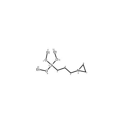 CCO[Si](CCCN1CC1)(OCC)OCC